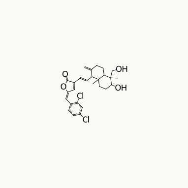 C=C1CCC2C(C)(CO)C(O)CCC2(C)C1/C=C/C1=CC(=C\c2ccc(Cl)cc2Cl)/OC1=O